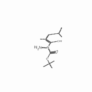 CC(CC(C)C)=C(O)N(N)C(=O)OC(C)(C)C